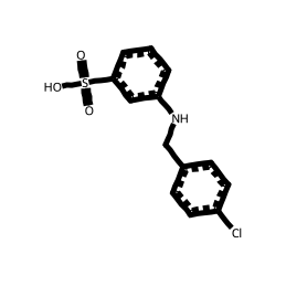 O=S(=O)(O)c1cccc(NCc2ccc(Cl)cc2)c1